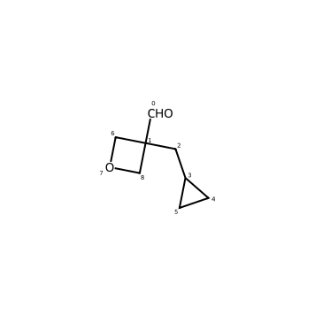 O=CC1(CC2CC2)COC1